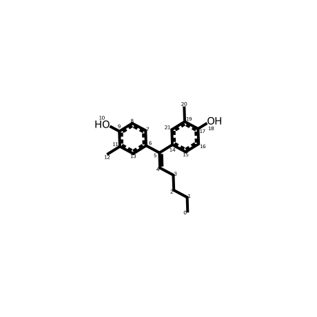 CCCCC=C(c1ccc(O)c(C)c1)c1ccc(O)c(C)c1